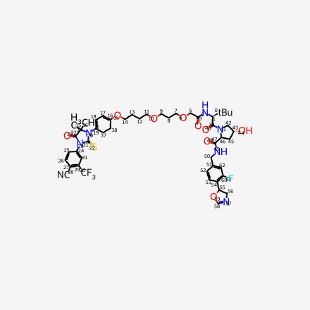 CC(C)(C)[C@H](NC(=O)COCCCOCCCCOC1=CC=C(N2C(=S)N(c3ccc(C#N)c(C(F)(F)F)c3)C(=O)C2(C)C)CC1)C(=O)N1C[C@H](O)CC1C(=O)NCc1ccc(C2CN=CO2)c(F)c1